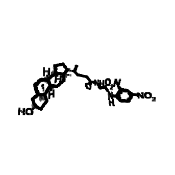 CC(CCC(=O)NCCNc1ccc([N+](=O)[O-])cc1[N+](=O)[O-])[C@H]1CC[C@H]2[C@@H]3CC=C4C[C@@H](O)CC[C@]4(C)[C@H]3CC[C@]12C